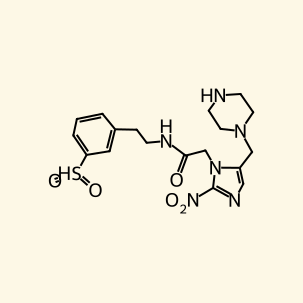 O=C(Cn1c(CN2CCNCC2)cnc1[N+](=O)[O-])NCCc1cccc([SH](=O)=O)c1